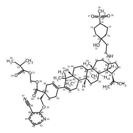 C=C(C)[C@@H]1CC[C@]2(NCCC3(O)CCC(S(C)(=O)=O)CC3)CC[C@]3(C)[C@H](CC[C@@H]4[C@@]5(C)CC=C(C6=CC[C@@](COc7ncccc7C#N)(C(=O)OCOC(=O)C(C)C)CC6)C(C)(C)[C@@H]5CC[C@]43C)[C@@H]12